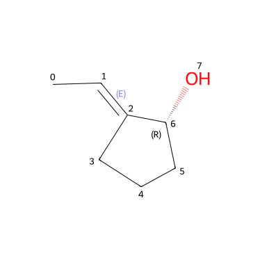 C/C=C1\CCC[C@H]1O